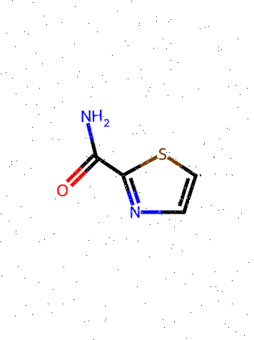 NC(=O)c1nc[c]s1